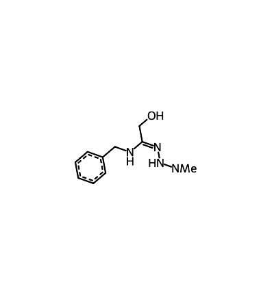 CNN/N=C(/CO)NCc1ccccc1